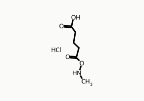 CNOC(=O)CCCC(=O)O.Cl